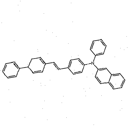 C(=Cc1ccc(N(c2ccccc2)c2ccc3ccccc3c2)cc1)C1=CCC(c2ccccc2)C=C1